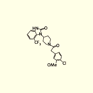 COc1cc(CC(=O)N2CCC(n3c(=O)[nH]c4cccc(C(F)(F)F)c43)CC2)ccc1Cl